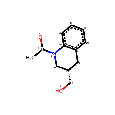 CB(O)N1C[C@@H](CO)Cc2ccccc21